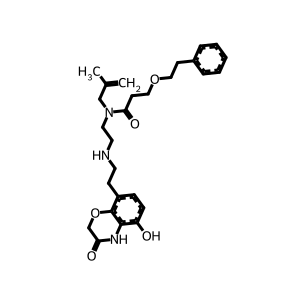 C=C(C)CN(CCNCCc1ccc(O)c2c1OCC(=O)N2)C(=O)CCOCCc1ccccc1